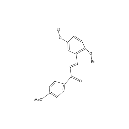 CCOc1ccc(OCC)c(C=CC(=O)c2ccc(OC)cc2)c1